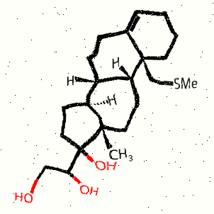 CSC[C@]12CCCC=C1CC[C@@H]1[C@H]2CC[C@@]2(C)[C@H]1CCC2(O)C(O)CO